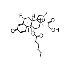 CCCCCC(=O)O[C@H]1C[C@@]2(C)[C@@H](C[C@@H](C)[C@@H]2C(=O)CO)[C@@H]2C[C@H](F)C3=CC(=O)C=C[C@]3(C)[C@H]21